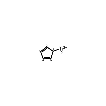 [Ti+3][CH]1C=CC=C1